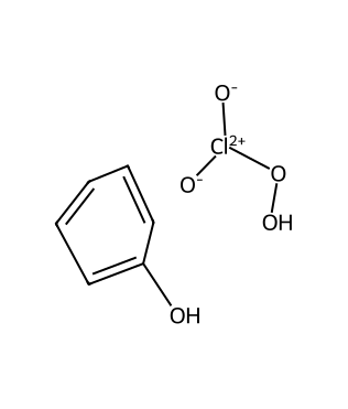 Oc1ccccc1.[O-][Cl+2]([O-])OO